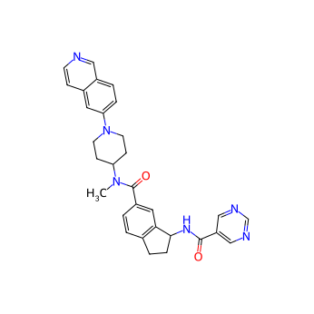 CN(C(=O)c1ccc2c(c1)C(NC(=O)c1cncnc1)CC2)C1CCN(c2ccc3cnccc3c2)CC1